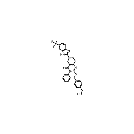 O=c1c2c(nc(SCc3ccc(CO)cc3)n1-c1ccccc1)CCN(c1nc3ccc(C(F)(F)F)cc3[nH]1)C2